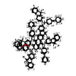 CC1(C)c2ccccc2-c2ccc(N(c3ccc(-c4ccccc4)cc3)c3ccc4c(c3)C(C)(C)c3cc5c(N(c6ccc(-c7ccccc7)cc6)c6ccc7c(c6)C(C)(C)c6ccccc6-7)c6ccc(N(c7ccc(-c8ccccc8)cc7)c7ccc8c(c7)C(C)(C)c7ccccc7-8)cc6c(N(c6ccc(-c7ccccc7)cc6)c6ccc7c(c6)C(C)(C)c6ccccc6-7)c5cc3-4)cc21